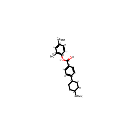 CCCCCCC1CCC(c2ccc(C(=O)Oc3ccc(CCCCC)cc3C#N)cc2)CC1